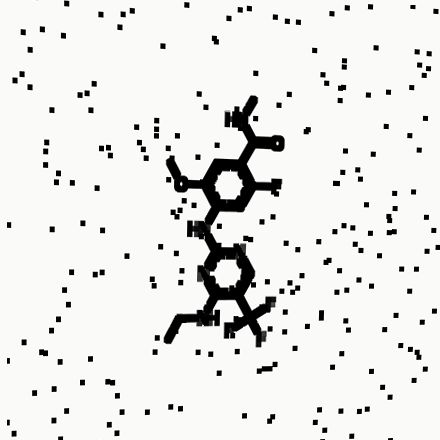 CCNc1nc(Nc2cc(F)c(C(=O)NC)cc2OC)ncc1C(F)(F)F